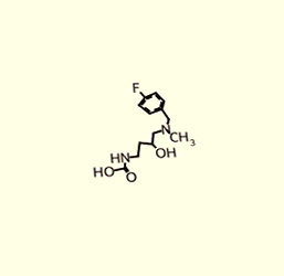 CN(Cc1ccc(F)cc1)CC(O)CCNC(=O)O